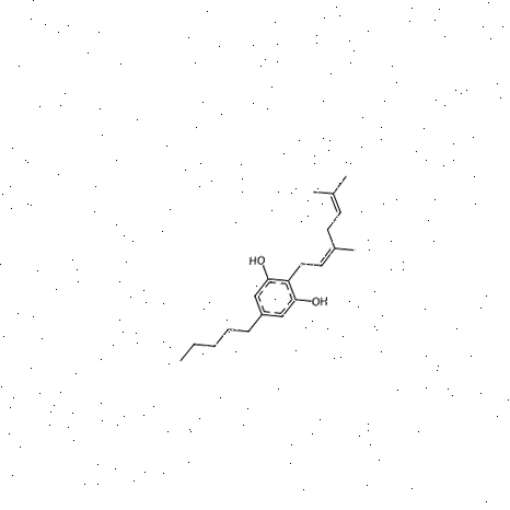 CCCCCc1cc(O)c(CC=C(C)CC=C(C)C)c(O)c1